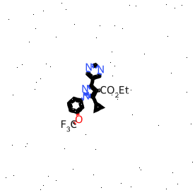 CCOC(=O)c1c(-c2cncnc2)nn(-c2cccc(OC(F)(F)F)c2)c1C1CC1